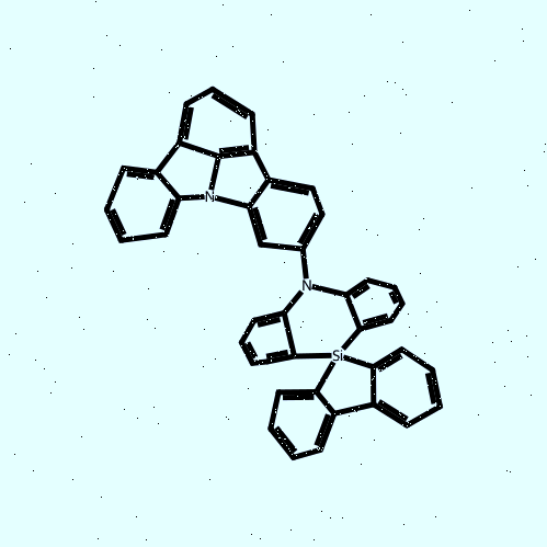 c1ccc2c(c1)-c1ccccc1[Si]21c2ccccc2N(c2ccc3c4cccc5c6ccccc6n(c3c2)c54)c2ccccc21